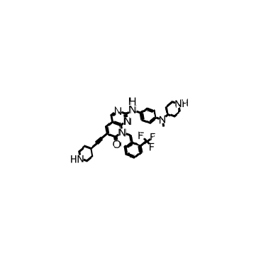 CN(c1ccc(Nc2ncc3cc(C#CC4CCNCC4)c(=O)n(Cc4ccccc4C(F)(F)F)c3n2)cc1)C1CCNCC1